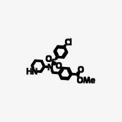 COC(=O)c1ccc(CN(C2CCCNC2)S(=O)(=O)c2ccc(Cl)cc2)cc1